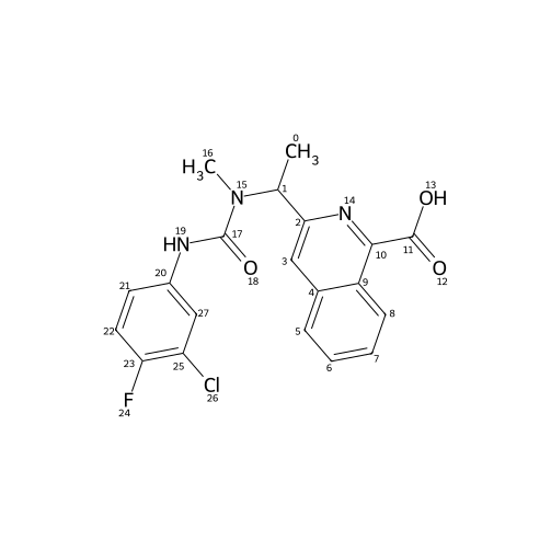 CC(c1cc2ccccc2c(C(=O)O)n1)N(C)C(=O)Nc1ccc(F)c(Cl)c1